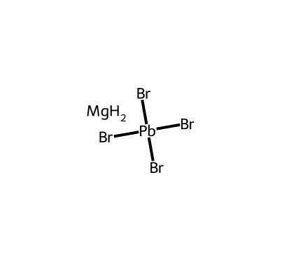 [Br][Pb]([Br])([Br])[Br].[MgH2]